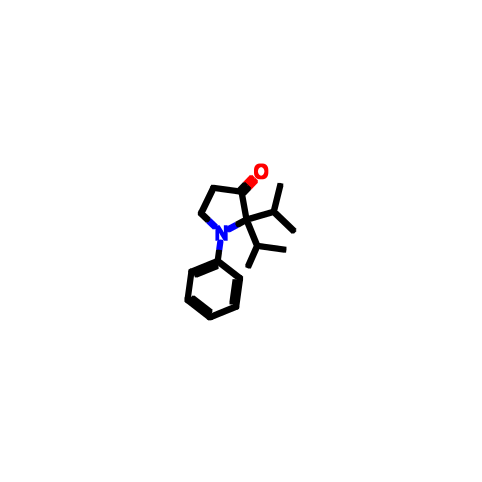 CC(C)C1(C(C)C)C(=O)CCN1c1ccccc1